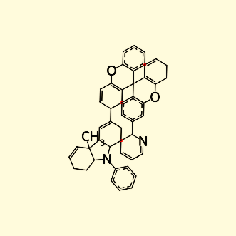 CC12C=CCCC1N(c1ccccc1)C1CCC(C3C=CC4=C(C3)C3(C5=C(CCC=C5)Oc5cc(C6CC=CC=N6)ccc53)c3ccccc3O4)=CC12